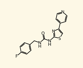 O=C(NCc1ccc(F)cc1)Nc1nc(-c2ccncc2)cs1